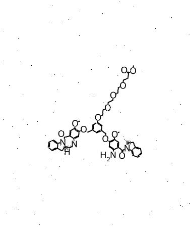 COC(=O)CCOCCOCCOCCOc1cc(COc2cc(N)c(C(=O)N3c4ccccc4C[C@H]3C)cc2OC)cc(COc2cc3c(cc2OC)C(=O)N2c4ccccc4C[C@H]2C=N3)c1